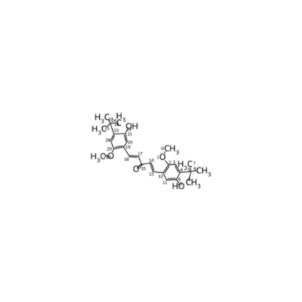 COc1cc(C(C)(C)C)c(O)cc1C=CC(=O)C=Cc1cc(O)c(C(C)(C)C)cc1OC